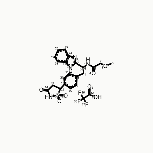 COCC(=O)N[C@@H](Cc1ccc(C2CC(=O)NS2(=O)=O)cc1)c1nc2ccccc2[nH]1.O=C(O)C(F)(F)F